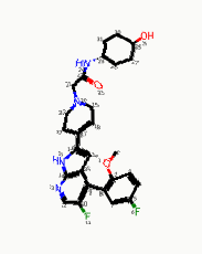 COc1ccc(F)cc1-c1c(F)cnc2[nH]c(C3=CCN(CC(=O)N[C@H]4CC[C@H](O)CC4)CC3)cc12